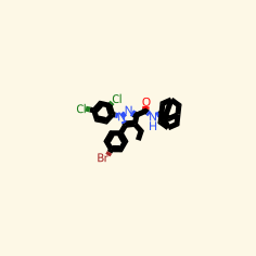 CCc1c(C(=O)NC23CC4CC(CC(C4)C2)C3)nn(-c2ccc(Cl)cc2Cl)c1-c1ccc(Br)cc1